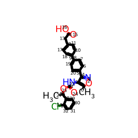 Cc1onc(-c2ccc(-c3ccc(CC(=O)O)cc3)cc2)c1NC(=O)O[C@H](C)c1ccccc1Cl